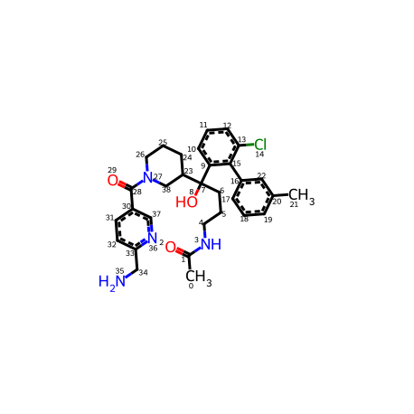 CC(=O)NCCCC(O)(c1cccc(Cl)c1-c1cccc(C)c1)C1CCCN(C(=O)c2ccc(CN)nc2)C1